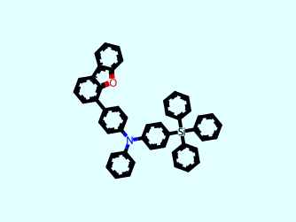 c1ccc(N(c2ccc(-c3cccc4c3oc3ccccc34)cc2)c2ccc([Si](c3ccccc3)(c3ccccc3)c3ccccc3)cc2)cc1